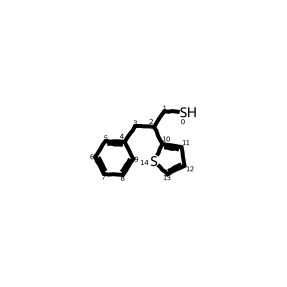 SCC(Cc1ccccc1)c1cccs1